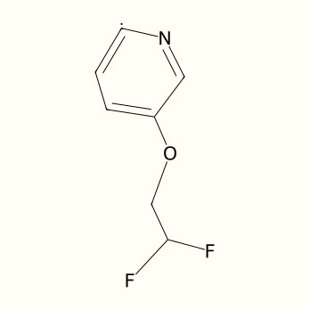 FC(F)COc1cc[c]nc1